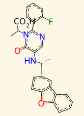 CC(C(=O)O)n1c(-c2ccccc2F)ncc(N[C@H](C)c2ccc3oc4ccccc4c3c2)c1=O